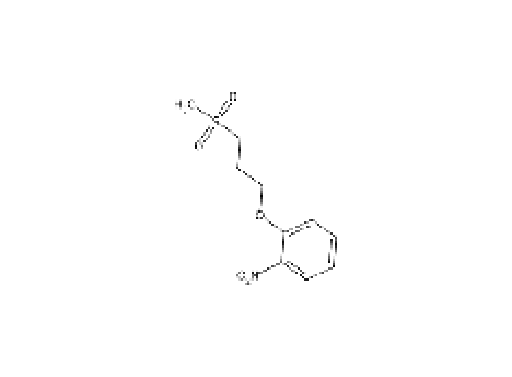 CS(=O)(=O)CCCOc1ccccc1[N+](=O)[O-]